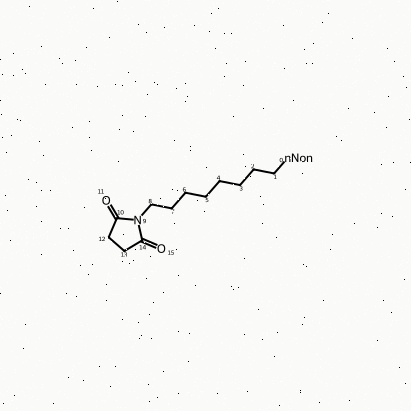 CCCCCCCCCCCCCCCCCN1C(=O)CCC1=O